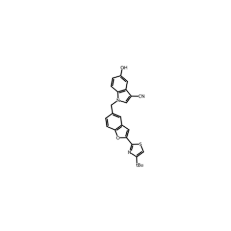 CC(C)(C)c1csc(-c2cc3cc(Cn4cc(C#N)c5cc(O)ccc54)ccc3o2)n1